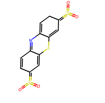 O=S(=O)=C1C=c2sc3cc(=S(=O)=O)ccc-3nc2=CC1